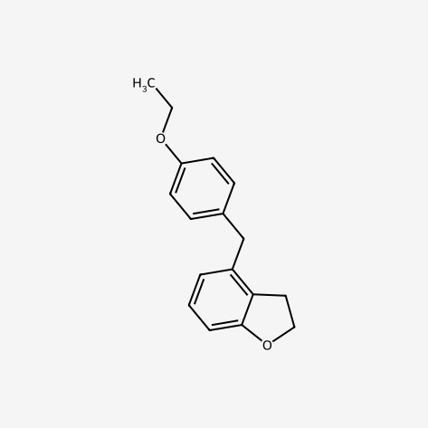 CCOc1ccc(Cc2cccc3c2CCO3)cc1